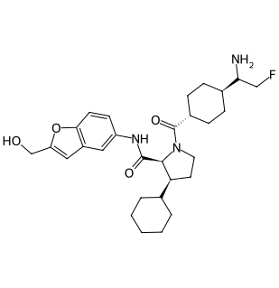 NC(CF)[C@H]1CC[C@H](C(=O)N2CC[C@@H](C3CCCCC3)[C@H]2C(=O)Nc2ccc3oc(CO)cc3c2)CC1